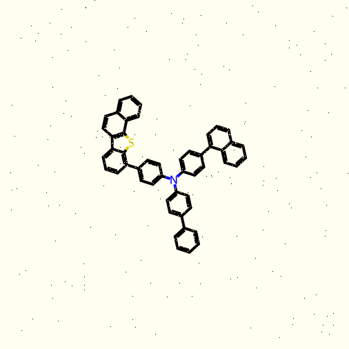 c1ccc(-c2ccc(N(c3ccc(-c4cccc5ccccc45)cc3)c3ccc(-c4cccc5c4sc4c6ccccc6ccc54)cc3)cc2)cc1